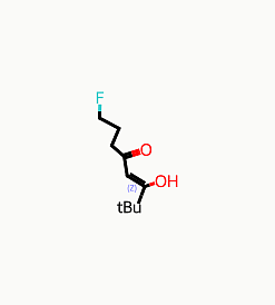 CC(C)(C)/C(O)=C/C(=O)CCCF